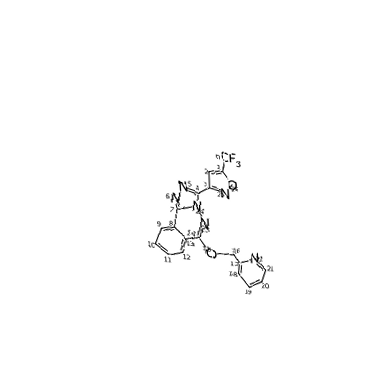 FC(F)(F)c1cc(-c2nnc3c4ccccc4c(OCc4ccccn4)nn23)no1